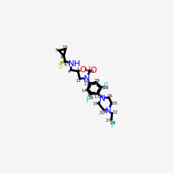 O=C1OC(CNC(=S)C2CC2)CN1c1cc(F)c(N2CCN(CCF)CC2)c(F)c1